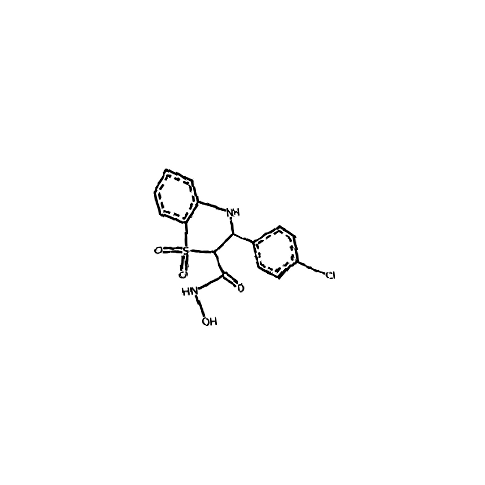 O=C(NO)C1C(c2ccc(Cl)cc2)Nc2ccccc2S1(=O)=O